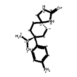 CN(C)[C@]1(c2ccc(P)cc2)CC[C@]2(CC1)CNC(=O)N2